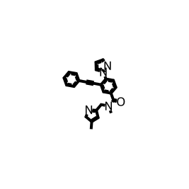 CC1=CC(CN(C)C(=O)c2ccc(-n3cccn3)c(C#Cc3ccccc3)c2)=NC1